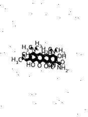 CN(C)Cc1cc(N(C)C)c2c(c1O)C(=O)C1=C(O)[C@]3(O)C(=O)C(C(N)=O)=C(O)[C@@H](N(C)C)[C@H]3C[C@H]1C2